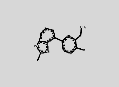 Cc1nc2c(-c3ccc(F)c(CN)c3)cccc2[nH]1